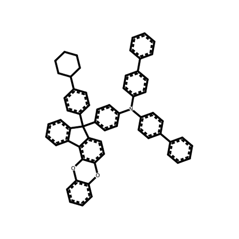 c1ccc(-c2ccc(N(c3ccc(-c4ccccc4)cc3)c3ccc(C4(c5ccc(C6CCCCC6)cc5)c5ccccc5-c5c4ccc4c5Oc5ccccc5O4)cc3)cc2)cc1